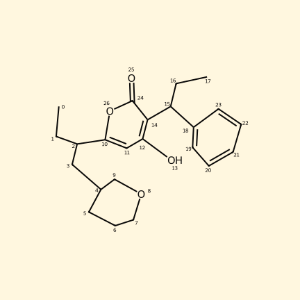 CCC(CC1CCCOC1)c1cc(O)c(C(CC)c2ccccc2)c(=O)o1